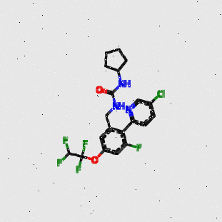 O=C(NCc1cc(OC(F)(F)C(F)F)cc(F)c1-c1ccc(Cl)cn1)NC1CCCC1